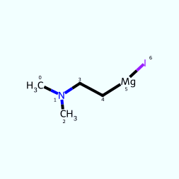 CN(C)C[CH2][Mg][I]